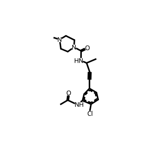 CC(=O)Nc1cc(C#CC(C)NC(=O)N2CCN(C)CC2)ccc1Cl